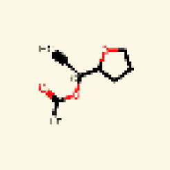 C#C[C@H](OC(=O)CC)C1CCCO1